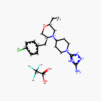 Nc1nnc(N2CCC(N3C[C@H](CC(F)(F)F)OC[C@@H]3Cc3ccc(Cl)cc3)CC2)[nH]1.O=C(O)C(F)(F)F